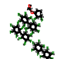 Fc1c(F)c(F)c(-c2c(F)c(F)c(F)c(F)c2F)c(F)c1F.Fc1c(F)c(F)c(-c2c(F)c(F)c(F)c(F)c2F)c(F)c1F.Fc1c(F)c(F)c(-c2c(F)c(F)c(F)c(F)c2F)c(F)c1F.[O]=[Al][O]c1cccc(F)c1F